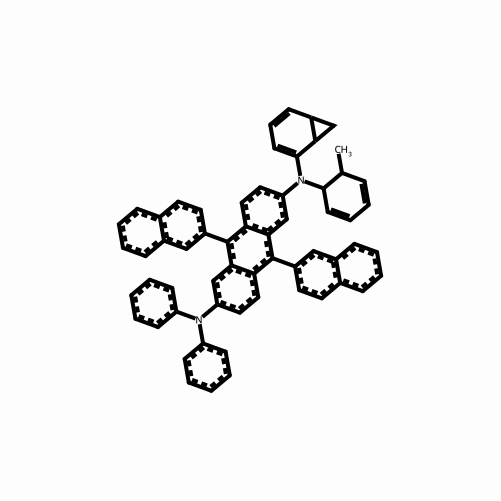 CC1C=CC=CC1N(C1=CC=CC2CC12)c1ccc2c(-c3ccc4ccccc4c3)c3cc(N(c4ccccc4)c4ccccc4)ccc3c(-c3ccc4ccccc4c3)c2c1